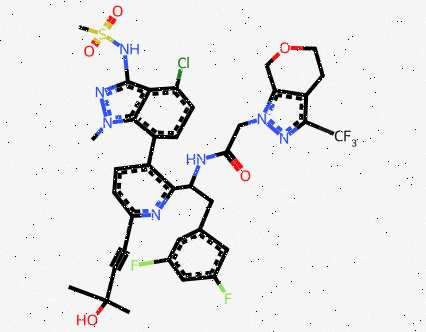 Cn1nc(NS(C)(=O)=O)c2c(Cl)ccc(-c3ccc(C#CC(C)(C)O)nc3C(Cc3cc(F)cc(F)c3)NC(=O)Cn3nc(C(F)(F)F)c4c3COCC4)c21